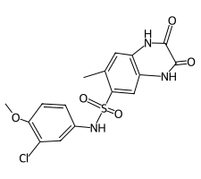 COc1ccc(NS(=O)(=O)c2cc3[nH]c(=O)c(=O)[nH]c3cc2C)cc1Cl